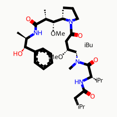 CC[C@H](C)[C@@H]([C@@H](CC(=O)N1CCC[C@H]1[C@H](OC)[C@@H](C)C(=O)N[C@H](C)[C@@H](O)c1ccccc1)OC)N(C)C(=O)[C@@H](NC(=O)CC(C)C)C(C)C